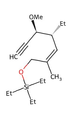 C#C[C@@H](OC)[C@@H](/C=C(/C)CO[Si](CC)(CC)CC)CC